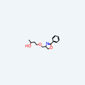 CC(O)CCOCC1COC(c2ccccc2)=N1